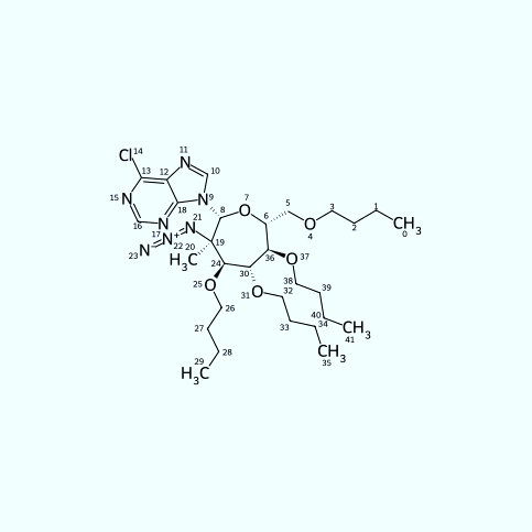 CCCCOC[C@H]1O[C@@H](n2cnc3c(Cl)ncnc32)[C@](C)(N=[N+]=[N-])[C@H](OCCCC)[C@@H](OCCCC)[C@@H]1OCCCC